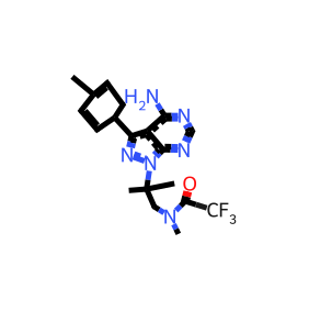 CC1=CCC(c2nn(C(C)(C)CN(C)C(=O)C(F)(F)F)c3ncnc(N)c23)C=C1